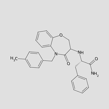 Cc1ccc(CN2C(=O)C(N[C@@H](Cc3ccccc3)C(N)=O)COc3ccccc32)cc1